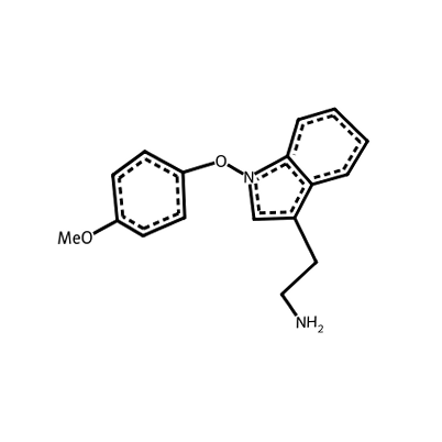 COc1ccc(On2cc(CCN)c3ccccc32)cc1